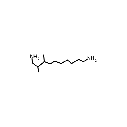 CC(CN)C(C)CCCCCCCN